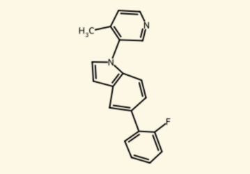 Cc1ccncc1-n1ccc2cc(-c3ccccc3F)ccc21